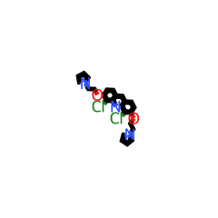 Clc1c(OCCn2cccc2)ccc2cc3ccc(OCCn4cccc4)c(Cl)c3nc12